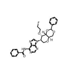 O=C(Nc1ncnc2c1ncn2[C@@H]1CO[C@@H]2COC(c3ccccc3)O[C@H]2[C@H]1OCCF)c1ccccc1